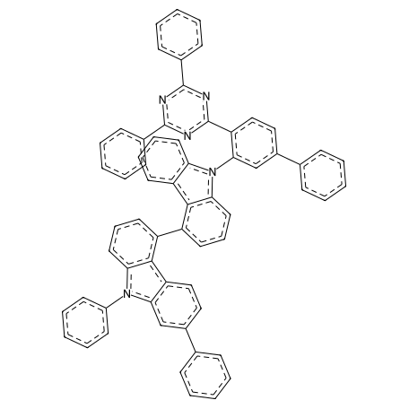 c1ccc(-c2ccc(-c3nc(-c4ccccc4)nc(-c4ccccc4)n3)c(-n3c4ccccc4c4c(-c5cccc6c5c5ccc(-c7ccccc7)cc5n6-c5ccccc5)cccc43)c2)cc1